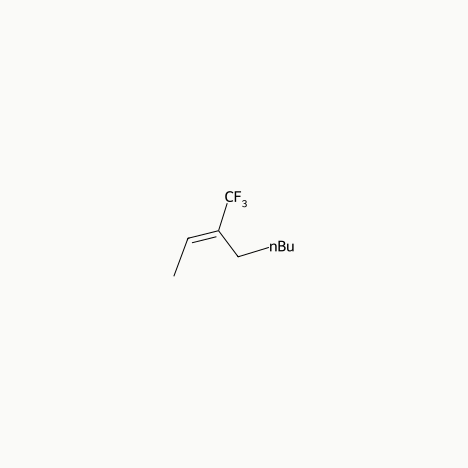 C/C=C(\CCCCC)C(F)(F)F